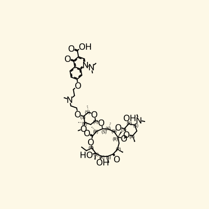 CC[C@H]1OC(=O)[C@H](C)[C@@H](O[C@H]2C[C@@](C)(OC)[C@@H](OCCN(C)CCOc3ccc4c(=O)c(C(=O)O)cn(N(C)C)c4c3)[C@H](C)O2)[C@H](C)[C@@H](O[C@@H]2O[C@H](C)C[C@H](N(C)C)[C@H]2O)[C@](C)(OC)C[C@@H](C)C(=O)[C@@H](C)[C@@H](O)[C@]1(C)O